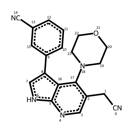 N#CCc1cnc2[nH]cc(-c3cccc(C#N)c3)c2c1N1CCOCC1